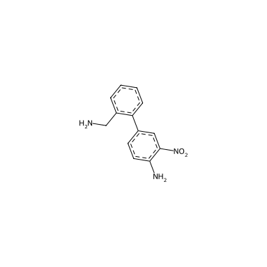 NCc1ccccc1-c1ccc(N)c([N+](=O)[O-])c1